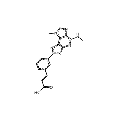 CNc1nc2sc(-c3cccc(/C=C/C(=O)O)c3)nc2c2c1ncn2C